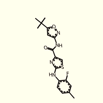 Cc1ccc(Nc2nc(C(=O)Nc3cc(C(C)(C)C)on3)cs2)c(F)c1